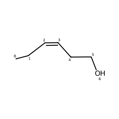 CC/C=C\CCO